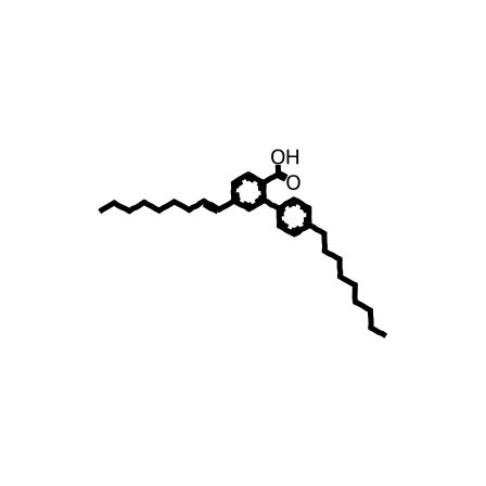 CCCCCCCC=Cc1ccc(C(=O)O)c(-c2ccc(CCCCCCCCC)cc2)c1